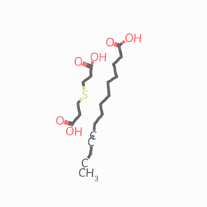 CCCCCCCCCCCCCC(=O)O.O=C(O)CCSCCC(=O)O